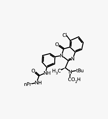 CCCNC(=O)Nc1cccc(-n2c([C@H](C)N(C(=O)O)C(C)(C)C)nc3cccc(Cl)c3c2=O)c1